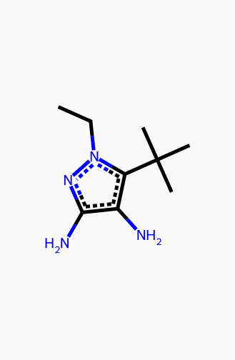 CCn1nc(N)c(N)c1C(C)(C)C